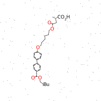 CCC(C)COC(=O)c1ccc(-c2ccc(OCCCCCCOC(=O)CC(C)C(=O)O)cc2)cc1